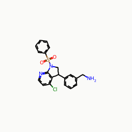 NCc1cccc(C2CN(S(=O)(=O)c3ccccc3)c3nccc(Cl)c32)c1